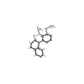 CSc1cccc(-c2c(F)ccc3ccccc23)c1SC